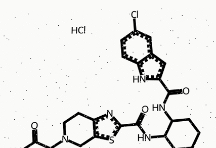 Cl.O=C(O)CN1CCc2nc(C(=O)NC3CCCCC3NC(=O)c3cc4cc(Cl)ccc4[nH]3)sc2C1